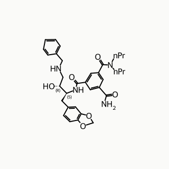 CCCN(CCC)C(=O)c1cc(C(N)=O)cc(C(=O)N[C@@H](Cc2ccc3c(c2)OCO3)[C@H](O)CNCc2ccccc2)c1